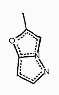 Cc1cn2nccc2o1